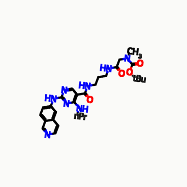 CCCNc1nc(Nc2ccc3cnccc3c2)ncc1C(=O)NCCCNC(=O)CN(C)C(=O)OC(C)(C)C